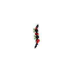 CCCCCCCC1OCC(c2ccc(-c3ccc(-c4ccc(OCCCC)c(F)c4F)cc3)c(F)c2F)CO1